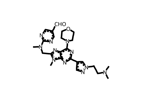 CN(C)CCn1cc(-c2nc(N3CCOCC3)c3nc(CN(C)c4ncc(C=O)cn4)n(C)c3n2)cn1